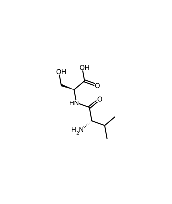 CC(C)[C@H](N)C(=O)N[C@@H](CO)C(=O)O